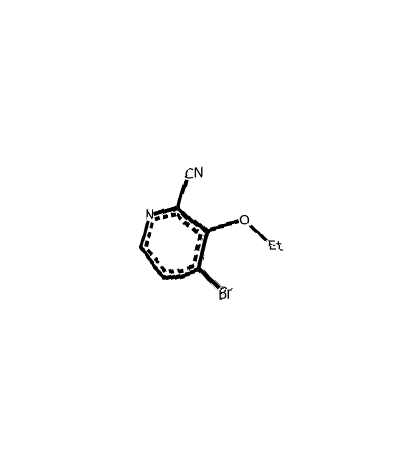 CCOc1c(Br)ccnc1C#N